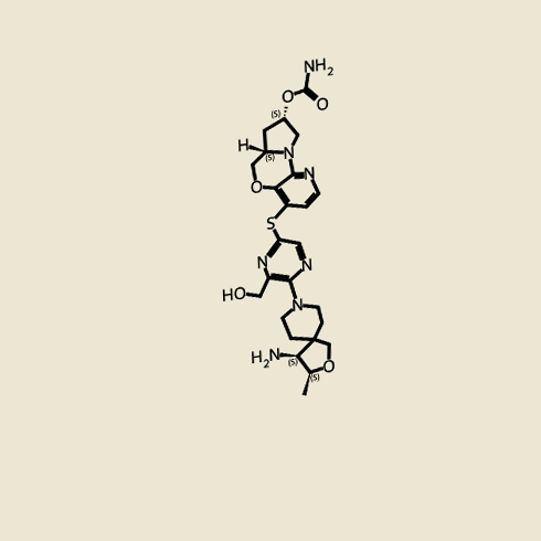 C[C@@H]1OCC2(CCN(c3ncc(Sc4ccnc5c4OC[C@@H]4C[C@H](OC(N)=O)CN54)nc3CO)CC2)[C@@H]1N